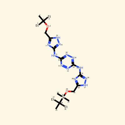 CCC(C)(CC)OCc1nc(Nc2nnc(Nc3n[nH]c(CO[Si](C)(C)C(C)(CC)CC)n3)nn2)n[nH]1